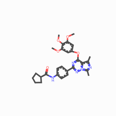 COc1cc(Oc2nc(-c3ccc(NC(=O)C4CCCC4)cc3)nn3c(C)nc(C)c23)cc(OC)c1OC